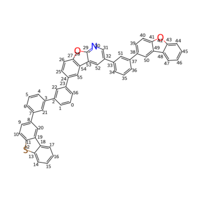 c1cc(-c2cccc(-c3ccc4sc5ccccc5c4c3)c2)cc(-c2ccc3oc4ncc(-c5cccc(-c6ccc7oc8ccccc8c7c6)c5)cc4c3c2)c1